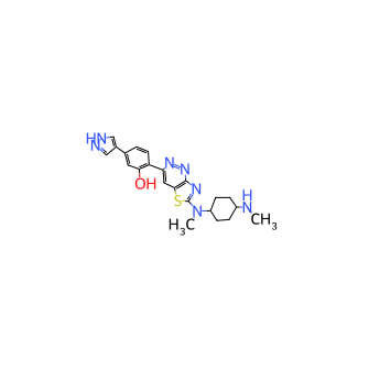 CNC1CCC(N(C)c2nc3nnc(-c4ccc(-c5cn[nH]c5)cc4O)cc3s2)CC1